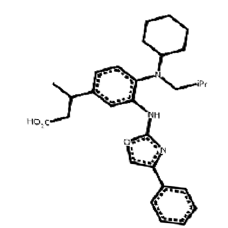 CC(C)CN(c1ccc(C(C)CC(=O)O)cc1Nc1nc(-c2ccccc2)co1)C1CCCCC1